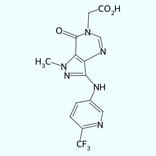 Cn1nc(Nc2ccc(C(F)(F)F)nc2)c2ncn(CC(=O)O)c(=O)c21